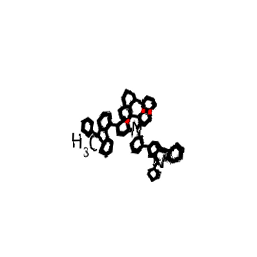 CC1(c2ccccc2)c2ccccc2-c2c(-c3ccc(N(c4cccc(-c5ccc6c7ccccc7n(-c7ccccc7)c6c5)c4)c4ccccc4-c4cccc5cccc(-c6ccccc6)c45)cc3)cccc21